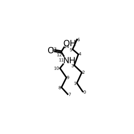 CCCCCCC.CCCCNC(=O)O